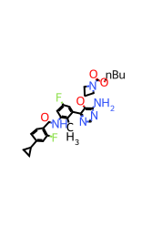 CCCCOC(=O)N1CC(Oc2c(N)ncnc2-c2cc(F)cc(NC(=O)c3ccc(C4CC4)cc3F)c2C)C1